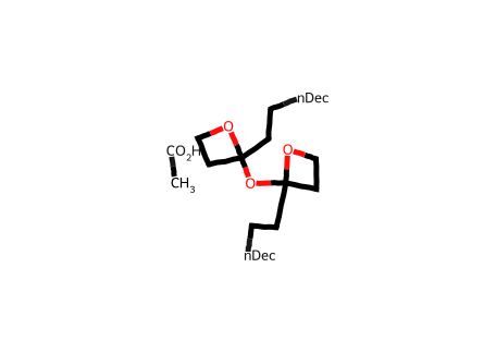 CC(=O)O.CCCCCCCCCCCCC1(OC2(CCCCCCCCCCCC)CCO2)CCO1